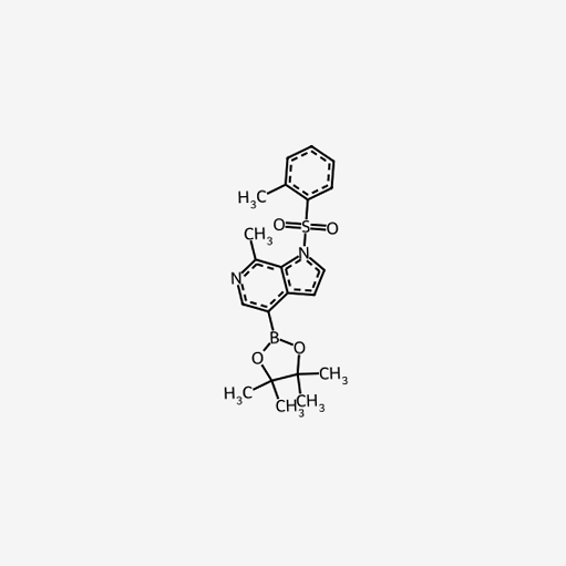 Cc1ccccc1S(=O)(=O)n1ccc2c(B3OC(C)(C)C(C)(C)O3)cnc(C)c21